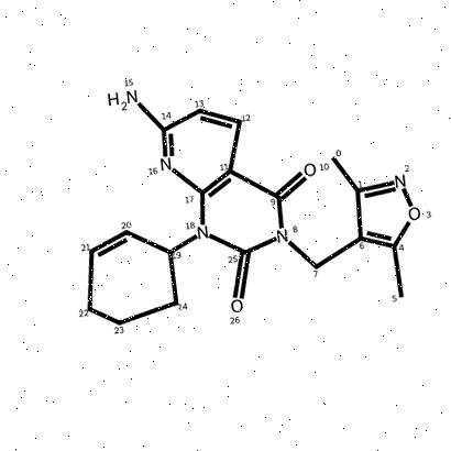 Cc1noc(C)c1Cn1c(=O)c2ccc(N)nc2n(C2C=CCCC2)c1=O